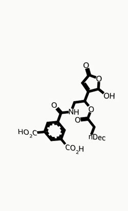 CCCCCCCCCCCC(=O)OC(CNC(=O)c1cc(C(=O)O)cc(C(=O)O)c1)C1=CC(=O)OC1O